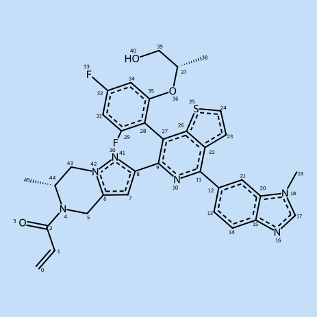 C=CC(=O)N1Cc2cc(-c3nc(-c4ccc5ncn(C)c5c4)c4ccsc4c3-c3c(F)cc(F)cc3O[C@@H](C)CO)nn2C[C@H]1C